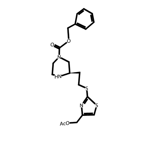 CC(=O)OCc1csc(SCC[C@@H]2CN(C(=O)OCc3ccccc3)CCN2)n1